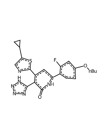 CCCCOc1ccc(-c2cc(-c3ncc(C4CC4)s3)c(-c3nnn[nH]3)c(=O)[nH]2)c(F)c1